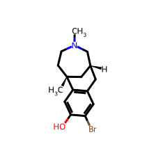 CN1CC[C@]2(C)C[C@@H](Cc3cc(Br)c(O)cc32)C1